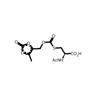 CC(=O)N[C@@H](CSC(=O)OCc1oc(=O)oc1C)C(=O)O